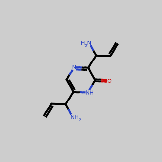 C=CC(N)c1cnc(C(N)C=C)c(=O)[nH]1